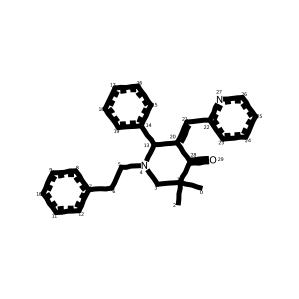 CC1(C)CN(CCc2ccccc2)C(c2ccccc2)C(=Cc2ccccn2)C1=O